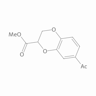 COC(=O)C1COc2ccc(C(C)=O)cc2O1